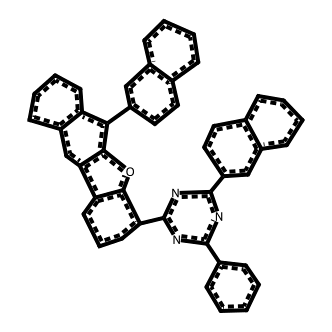 c1ccc(-c2nc(-c3ccc4ccccc4c3)nc(-c3cccc4c3oc3c(-c5ccc6ccccc6c5)c5ccccc5cc34)n2)cc1